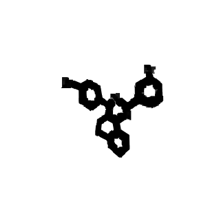 Brc1ccc(-c2nc(-c3cccc(Br)c3)nc3c2CCc2ccccc2-3)cc1